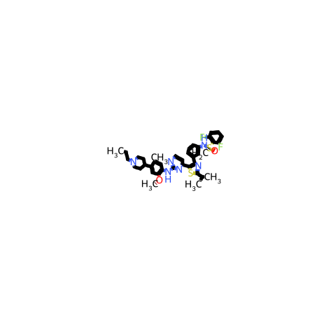 C=S(=O)(Nc1cccc(-c2nc(C(C)C)sc2-c2ccnc(Nc3cc(C)c(C4CCN(CCC)CC4)cc3OC)n2)c1)c1c(F)cccc1F